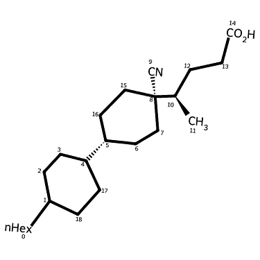 CCCCCCC1CCC([C@H]2CC[C@](C#N)([C@H](C)CCC(=O)O)CC2)CC1